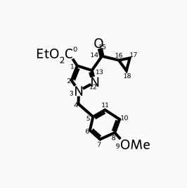 CCOC(=O)c1cn(Cc2ccc(OC)cc2)nc1C(=O)C1CC1